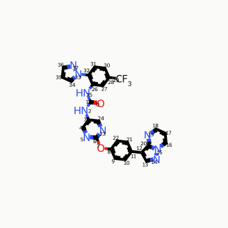 O=C(Nc1cnc(Oc2ccc(-c3cnn4cccnc34)cc2)nc1)Nc1cc(C(F)(F)F)ccc1-n1cccn1